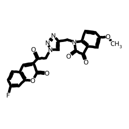 COc1ccc2c(c1)C(=O)C(=O)N2Cc1cn(CC(=O)c2cc3ccc(F)cc3oc2=O)nn1